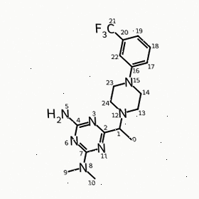 CC(c1nc(N)nc(N(C)C)n1)N1CCN(c2cccc(C(F)(F)F)c2)CC1